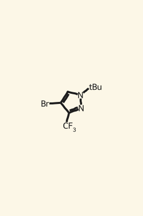 CC(C)(C)n1cc(Br)c(C(F)(F)F)n1